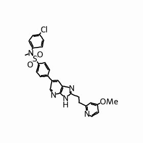 COc1ccnc(CCc2nc3cc(-c4ccc(S(=O)(=O)N(C)c5ccc(Cl)cc5)cc4)cnc3[nH]2)c1